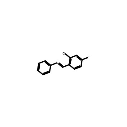 Fc1ccc(C=Nc2ccccc2)c(Cl)c1